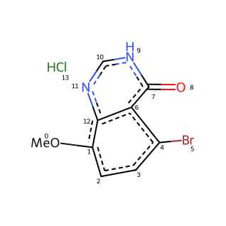 COc1ccc(Br)c2c(=O)[nH]cnc12.Cl